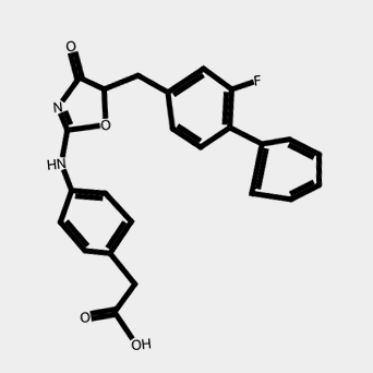 O=C(O)Cc1ccc(NC2=NC(=O)C(Cc3ccc(-c4ccccc4)c(F)c3)O2)cc1